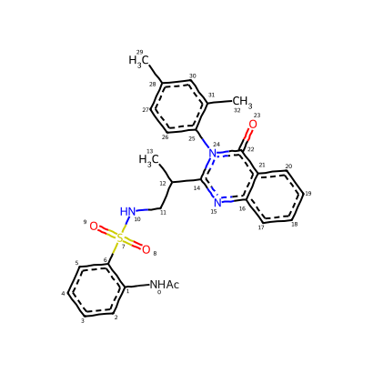 CC(=O)Nc1ccccc1S(=O)(=O)NCC(C)c1nc2ccccc2c(=O)n1-c1ccc(C)cc1C